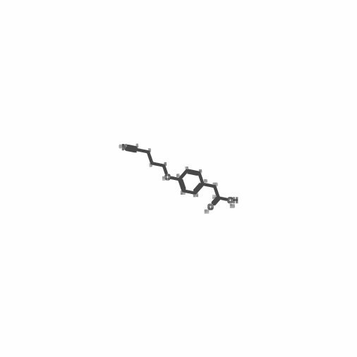 N#CCCCOc1ccc(CC(=O)O)cc1